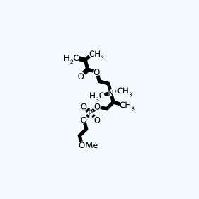 C=C(C)C(=O)OCC[N+](C)(C)C(C)COP(=O)([O-])OCCOC